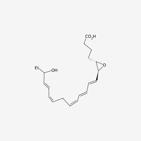 CCC(O)/C=C/C=C\C\C=C/C=C/C=C/[C@@H]1O[C@H]1CCCC(=O)O